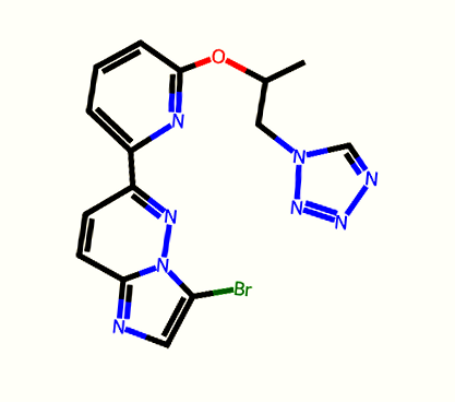 CC(Cn1cnnn1)Oc1cccc(-c2ccc3ncc(Br)n3n2)n1